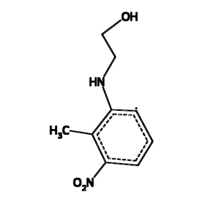 Cc1c(NCCO)[c]ccc1[N+](=O)[O-]